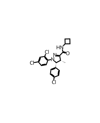 C[C@H]1C(C(=O)NC2CCC2)=NN(c2ccc(Cl)cc2Cl)[C@H]1c1ccc(Cl)cc1